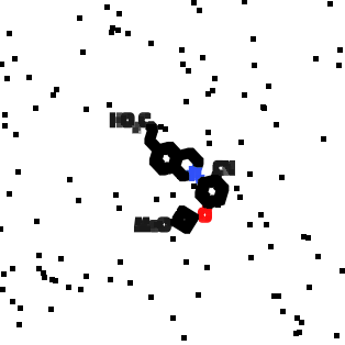 CO[C@H]1C[C@H](Oc2ccc(C#N)c(N3CCc4cc(CCC(=O)O)ccc4C3)c2)C1